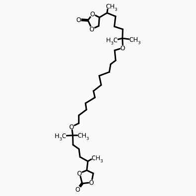 CC(CCCC(C)(C)OCCCCCCCCCCCCOC(C)(C)CCCC(C)C1COC(=O)O1)C1COC(=O)O1